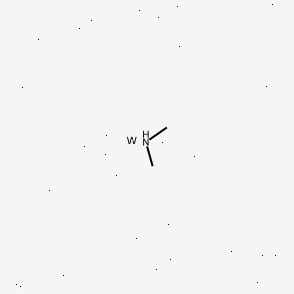 CNC.[W]